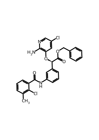 Cc1cccc(C(=O)Nc2cccc([C@@H](Oc3cc(Cl)cnc3N)C(=O)OCc3ccccc3)c2)c1Cl